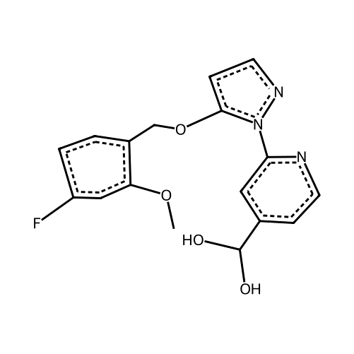 COc1cc(F)ccc1COc1ccnn1-c1cc(C(O)O)ccn1